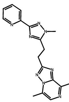 Cc1ncc(C)n2nc(CCc3nc(-c4ccccn4)nn3C)nc12